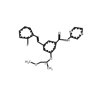 COC[C@H](C)Oc1cc(C=Cc2ccccc2F)cc(C(=O)Nc2cnccn2)c1